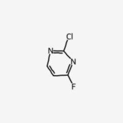 Fc1ccnc(Cl)n1